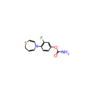 NC(=O)Oc1ccc(N2C=CCSC=C2)c(F)c1